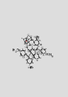 Cc1ccc(N(c2ccc(C(C)C)cc2)c2c3ccccc3c(N(c3ccc(C)cc3)c3ccc(C(C)C)cc3)c3cc(C45CC6CC(CC(C6)C4)C5)ccc23)cc1